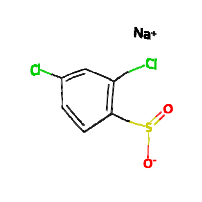 O=S([O-])c1ccc(Cl)cc1Cl.[Na+]